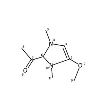 COC1=CN(C)C(C(C)=O)N1C